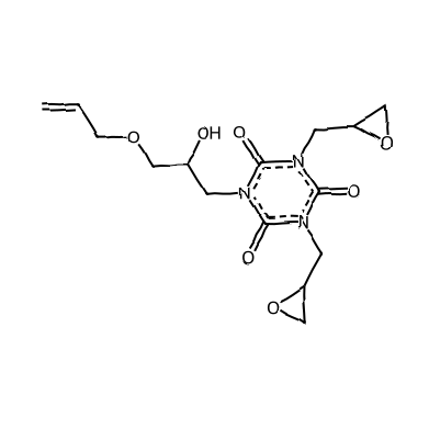 C=CCOCC(O)Cn1c(=O)n(CC2CO2)c(=O)n(CC2CO2)c1=O